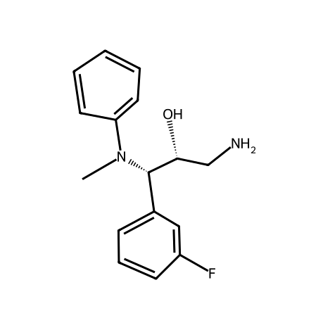 CN(c1ccccc1)[C@@H](c1cccc(F)c1)[C@H](O)CN